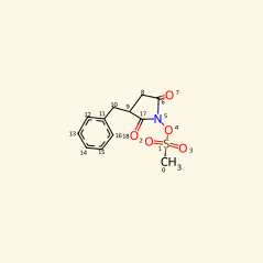 CS(=O)(=O)ON1C(=O)CC(Cc2ccccc2)C1=O